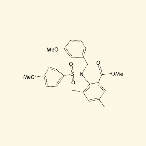 COC(=O)c1cc(C)cc(C)c1N(Cc1cccc(OC)c1)S(=O)(=O)c1ccc(OC)cc1